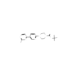 CC(C)(C)OC(=O)N1CCN(c2ccc(-c3ccnc(Cl)n3)cn2)CC1